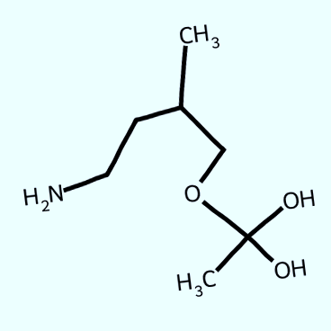 CC(CCN)COC(C)(O)O